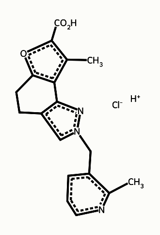 Cc1ncccc1Cn1cc2c(n1)-c1c(oc(C(=O)O)c1C)CC2.[Cl-].[H+]